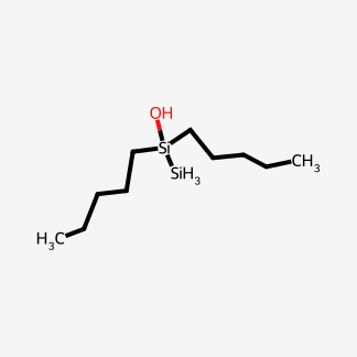 CCCCC[Si](O)([SiH3])CCCCC